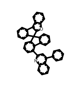 c1ccc(-c2cc(-c3cccc4c3-c3ccccc3C43c4ccccc4-c4c3oc3ccccc43)nc3ccccc23)cc1